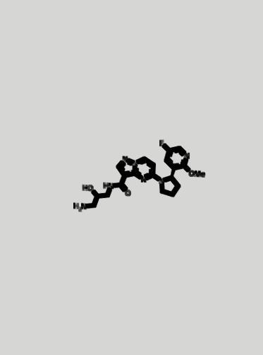 COc1ncc(F)cc1[C@H]1CCCN1c1ccn2ncc(C(=O)NCC(O)CN)c2n1